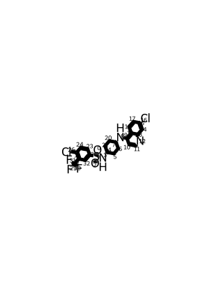 O=S(=O)(NC1CCC(Nc2ccnc3cc(Cl)ccc23)CC1)c1ccc(Cl)c(C(F)(F)F)c1